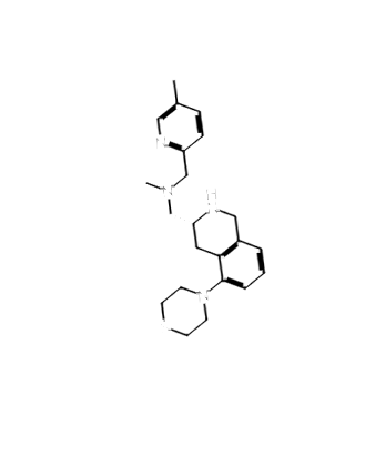 Cc1ccc(CN(C)C[C@H]2Cc3c(cccc3N3CCSCC3)CN2)nc1